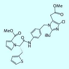 CCC(C)c1nc(Cl)c(CC(=O)OC)n1Cc1ccc(NC(=O)[C@H](Cc2cccs2)n2cccc2C(=O)OC)cc1